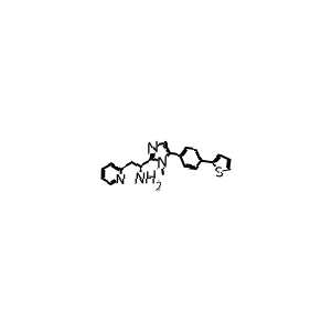 Cn1c(-c2ccc(-c3cccs3)cc2)cnc1[C@@H](N)Cc1ccccn1